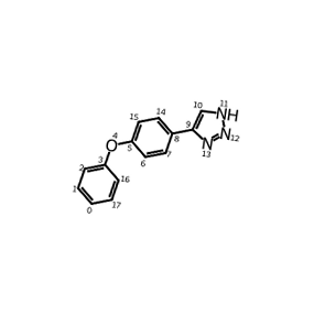 c1ccc(Oc2ccc(-c3c[nH]nn3)cc2)cc1